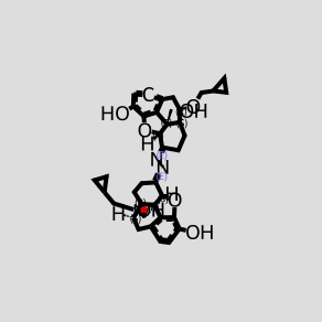 C[C@]12c3c4ccc(O)c3O[C@H]1/C(=N/N=C1\CC[C@]3(O)[C@@H]5Cc6ccc(O)c7c6[C@]3(CCN5CC3CC3)[C@@H]1O7)CC[C@@]2(O)[C@H](OCC1CC1)C4